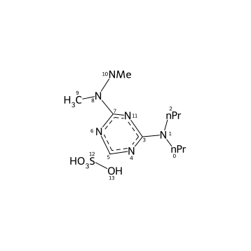 CCCN(CCC)c1ncnc(N(C)NC)n1.O=S(=O)(O)O